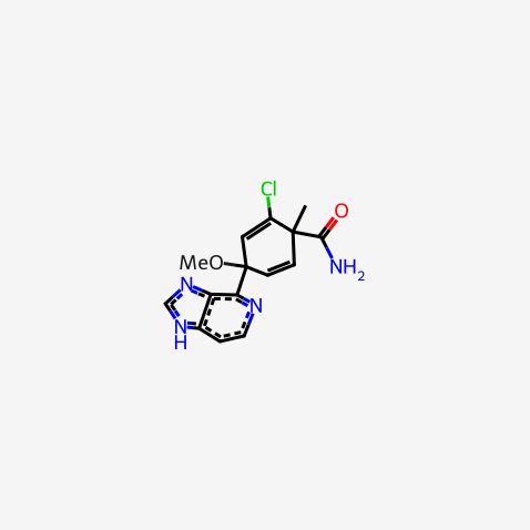 COC1(c2nccc3[nH]cnc23)C=CC(C)(C(N)=O)C(Cl)=C1